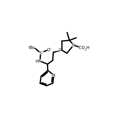 CC1(C)C[C@H](CCC(N[S+]([O-])C(C)(C)C)c2ccccn2)CN1C(=O)O